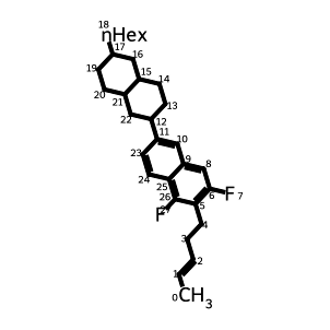 CC=CCCc1c(F)cc2cc(C3CCC4CC(CCCCCC)CCC4C3)ccc2c1F